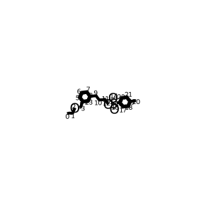 CCOCc1cccc(CCCOS(=O)(=O)c2ccc(C)cc2)c1